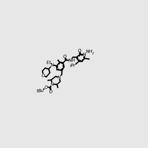 CCN(c1cc(CN2CC(C)N(C(=O)OC(C)(C)C)C(C)C2)cc(C(=O)NCc2c(C(C)C)cc(C)n(N)c2=O)c1C)C1CCOCC1